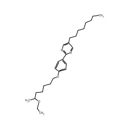 CCCCCCCCc1cnc(-c2ccc(OCCCCCC(C)OCC)cc2)nc1